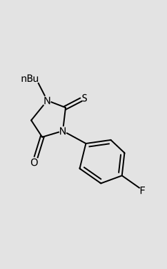 CCCCN1CC(=O)N(c2ccc(F)cc2)C1=S